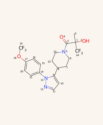 CC(O)(C(=O)N1CCC(c2ccnn2-c2ccc(OC(F)(F)F)cc2)CC1)C(F)(F)F